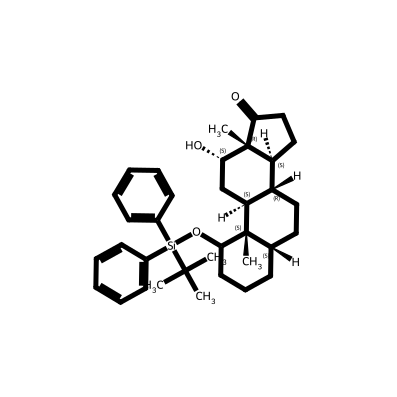 CC(C)(C)[Si](OC1CCC[C@H]2CC[C@H]3[C@@H]4CCC(=O)[C@@]4(C)[C@@H](O)C[C@@H]3[C@@]12C)(c1ccccc1)c1ccccc1